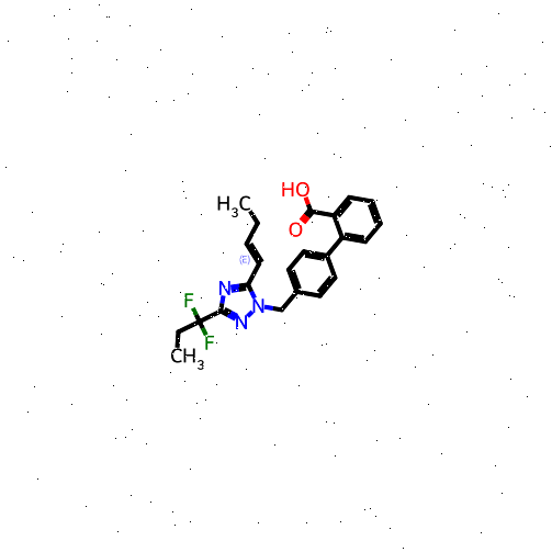 CC/C=C/c1nc(C(F)(F)CC)nn1Cc1ccc(-c2ccccc2C(=O)O)cc1